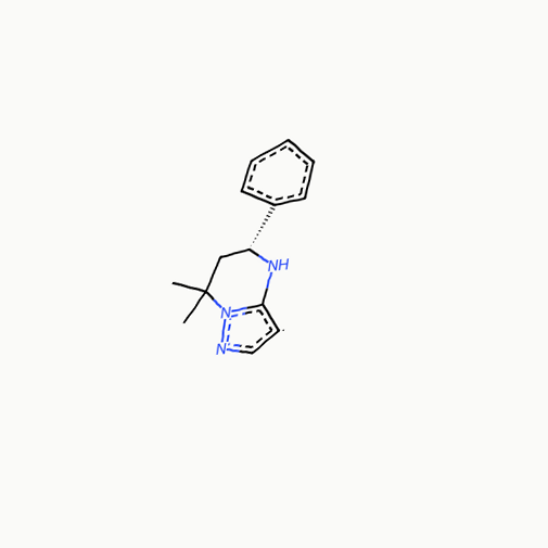 CC1(C)C[C@H](c2ccccc2)Nc2[c]cnn21